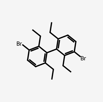 CCc1ccc(Br)c(CC)c1-c1c(CC)ccc(Br)c1CC